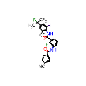 N#Cc1ccc(C(=O)Nc2cccc(C(=O)Nc3c(I)cc(C(F)(C(F)(F)F)C(F)(F)F)cc3C(F)(F)F)c2F)cc1